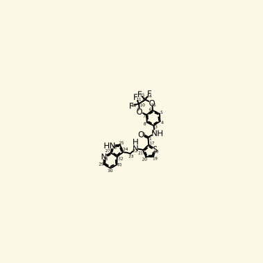 O=C(Nc1ccc2c(c1)OC(F)(F)C(F)(F)O2)c1sccc1NCc1c[nH]c2ncccc12